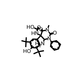 CN1C(=O)N(c2ccccc2)C(N)C(NC(=O)O)(c2cc(C(C)(C)C)c(O)c(C(C)(C)C)c2)C1=O